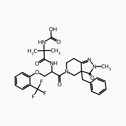 CN1N=C2CCN(C(=O)C(COc3ccccc3C(F)(F)F)NC(=O)C(C)(C)NC(=O)O)CC2(Cc2ccccc2)C1=O